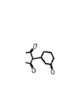 CC(=O)C(C(C)=O)C1CCCC(=O)C1